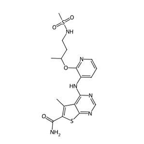 Cc1c(C(N)=O)sc2ncnc(Nc3cccnc3OC(C)CCNS(C)(=O)=O)c12